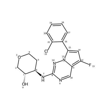 O[C@@H]1COCC[C@H]1Nc1ncc2c(F)cc(-c3ccccc3Cl)n2n1